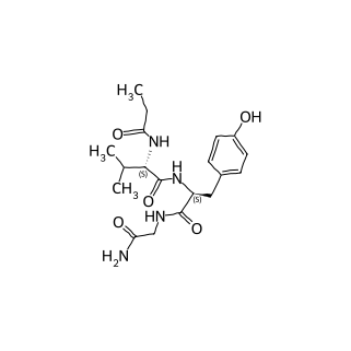 CCC(=O)N[C@H](C(=O)N[C@@H](Cc1ccc(O)cc1)C(=O)NCC(N)=O)C(C)C